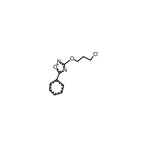 ClCCCOc1noc(-c2ccccc2)n1